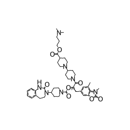 Cc1cc(C[C@@H](OC(=O)N2CCC(N3CCc4ccccc4NC3=O)CC2)C(=O)N2CCC(N3CCC(C(=O)OCCCN(C)C)CC3)CC2)cc2oc(=O)n(C)c12